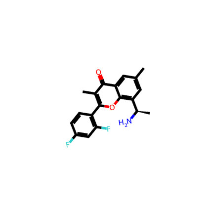 Cc1cc([C@@H](C)N)c2oc(-c3ccc(F)cc3F)c(C)c(=O)c2c1